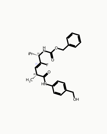 CC(C)[C@H](NC(=O)OCc1ccccc1)/C(F)=C/[C@@H](C)C(=O)Nc1ccc(CO)cc1